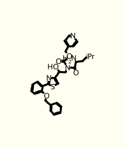 CC(C)C[C@H](N)C(=O)N(CC(O)c1csc(-c2ccccc2OCc2ccccc2)n1)C(=O)OCc1ccncc1